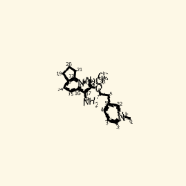 C[n+]1cccc(CCOc2nn3c4c(ccc3c2N)CCC4)c1.Cl.[Cl-]